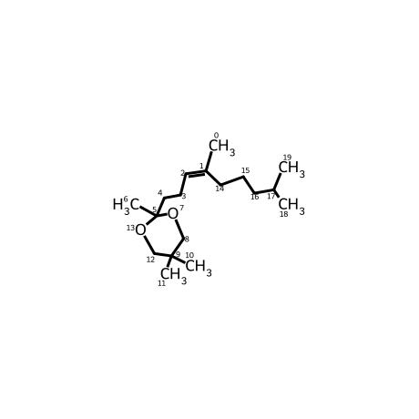 C/C(=C/CCC1(C)OCC(C)(C)CO1)CCCC(C)C